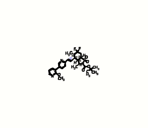 COc1ncccc1-c1ccc(/C=C/[C@@H]2[C@@H]3[C@@H](C)N(C(=O)OC(C)(C)C)S(=O)(=O)[C@@H]3CC(F)(F)[C@H]2C)nc1